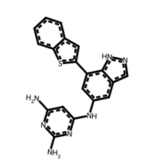 Nc1cc(Nc2cc(-c3cc4ccccc4s3)c3[nH]ncc3c2)nc(N)n1